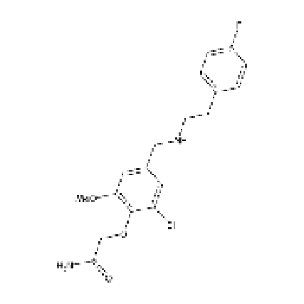 COc1cc(CNCCc2ccc(F)cc2)cc(Cl)c1OCC(N)=O